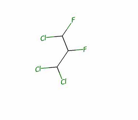 FC(Cl)C(F)C(Cl)Cl